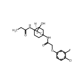 CCC(=O)NC12CCC(NC(=O)COc3ccc(Cl)c(F)c3)(CC1)C[C@@H]2O